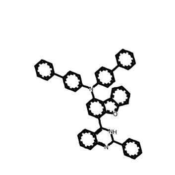 c1ccc(-c2ccc(N(c3ccc(-c4ccccc4)cc3)c3ccc(C4=c5ccccc5=NC(c5ccccc5)N4)c4oc5ccccc5c34)cc2)cc1